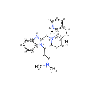 CN(C)CCCn1c(CN2CCC[C@@H]3CCc4cccnc4[C@@H]32)nc2ccccc21